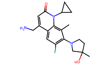 Cc1c(N2CCC(C)(O)C2)c(F)cc2c(CN)cc(=O)n(C3CC3)c12